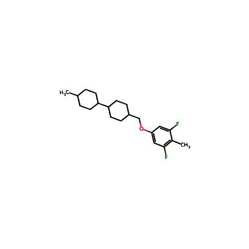 Cc1c(F)cc(OCC2CCC(C3CCC(C)CC3)CC2)cc1F